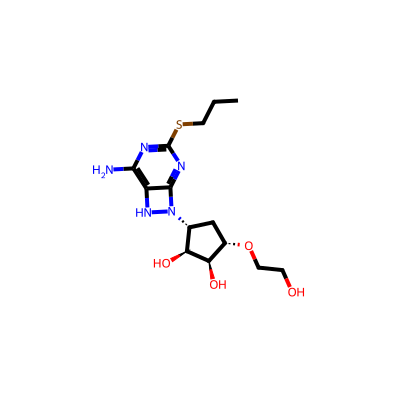 CCCSc1nc(N)c2[nH]n([C@@H]3C[C@H](OCCO)[C@@H](O)[C@H]3O)c2n1